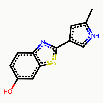 Cc1cc(-c2nc3ccc(O)cc3s2)c[nH]1